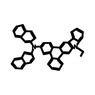 CCn1c2ccccc2c2cc3c4ccc(N(c5ccc6ccccc6c5)c5ccc6ccccc6c5)cc4c4ccccc4c3cc21